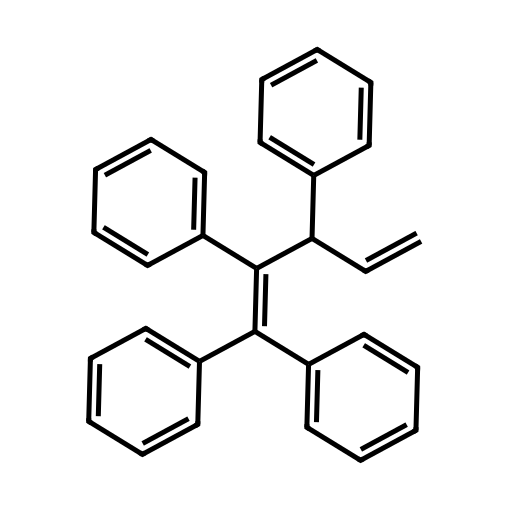 C=CC(C(=C(c1ccccc1)c1ccccc1)c1ccccc1)c1ccccc1